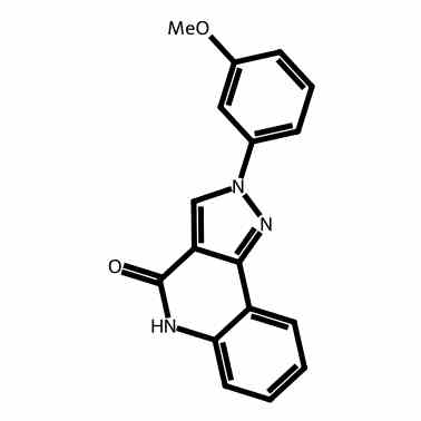 COc1cccc(-n2cc3c(=O)[nH]c4ccccc4c3n2)c1